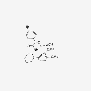 C#CCOC(C(=O)N[C@H]1CCCC[C@@H]1c1ccc(OC)c(OC)c1)c1ccc(Br)cc1